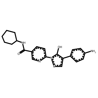 Nc1ccc(-c2cnn(-c3ccc(C(=O)NC4CCCCC4)cn3)c2O)cc1